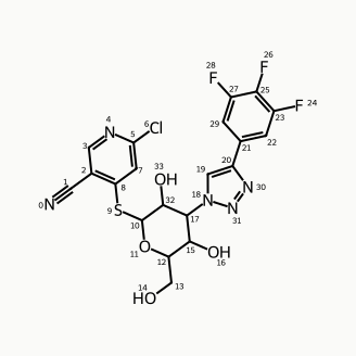 N#Cc1cnc(Cl)cc1SC1OC(CO)C(O)C(n2cc(-c3cc(F)c(F)c(F)c3)nn2)C1O